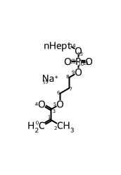 C=C(C)C(=O)OCCCOP(=O)([O-])OCCCCCCC.[Na+]